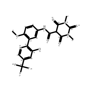 COc1ccc(NC(=O)C2C(=O)N(C)C(=S)N(C)C2=O)cc1-c1ncc(C(F)(F)F)cc1Cl